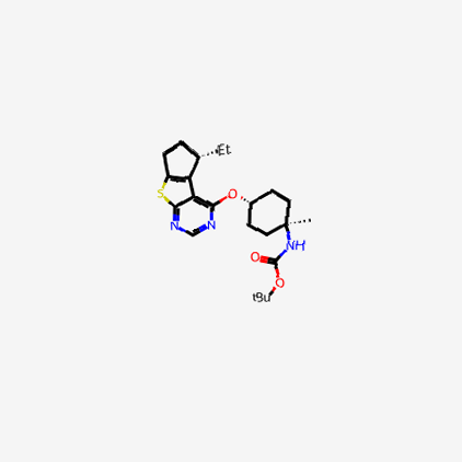 CC[C@H]1CCc2sc3ncnc(O[C@H]4CC[C@](C)(NC(=O)OC(C)(C)C)CC4)c3c21